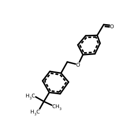 CC(C)(C)c1ccc(COc2ccc(C=O)cc2)cc1